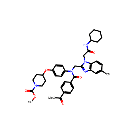 COC(=O)c1ccc(C(=O)N(Cc2nc3cc(C#N)ccc3n2CC(=O)NC2CCCCC2)c2ccc(OC3CCN(C(=O)OC(C)(C)C)CC3)cc2)cc1